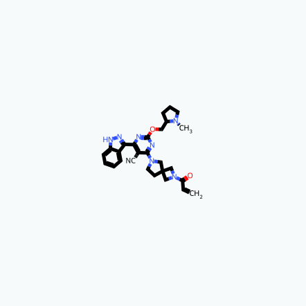 C=CC(=O)N1CC2(CCN(c3nc(OCC4CCCN4C)nc(-c4n[nH]c5ccccc45)c3C#N)C2)C1